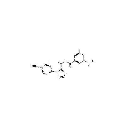 CC(NC(=O)C1=CC([N+](=O)[O-])CC(Cl)=C1)c1ncnn1-c1ccc(C#N)cn1